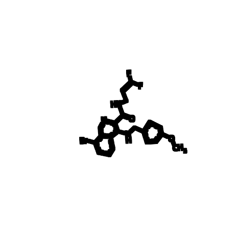 COc1ccc(CNc2c(C(=O)NCC=C(F)F)ncc3c(Br)cccc23)cc1